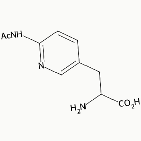 CC(=O)Nc1ccc(CC(N)C(=O)O)cn1